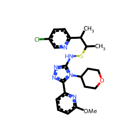 COc1cccc(-c2nnc(NSC(C)C(C)c3ccc(Cl)cn3)n2C2CCOCC2)n1